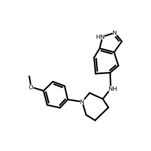 COc1ccc(N2CCCC(Nc3ccc4[nH]ncc4c3)C2)cc1